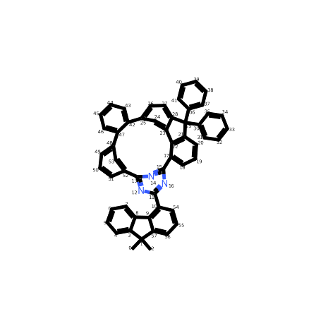 CC1(C)c2ccccc2-c2c(-c3nc4nc(n3)-c3cccc5c3-c3cc(ccc3C5(c3ccccc3)c3ccccc3)-c3ccccc3-c3cccc-4c3)cccc21